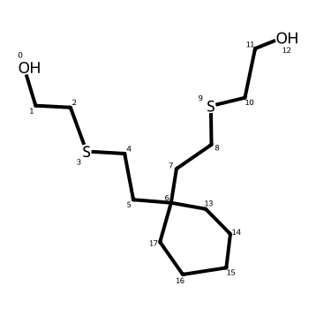 OCCSCCC1(CCSCCO)CCCCC1